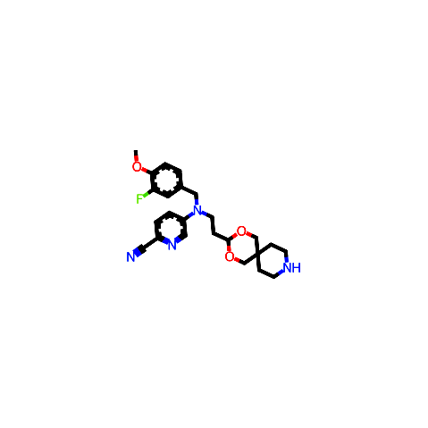 COc1ccc(CN(CCC2OCC3(CCNCC3)CO2)c2ccc(C#N)nc2)cc1F